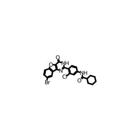 O=C(Nc1ccc(-c2nc3c(oc4ccc(Br)cc43)c(=O)[nH]2)c(Cl)c1)C1CCCCC1